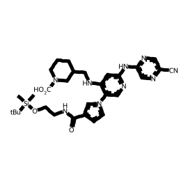 CC(C)(C)[Si](C)(C)OCCNC(=O)c1ccn(-c2cnc(Nc3cnc(C#N)cn3)cc2NCC2CCCN(C(=O)O)C2)c1